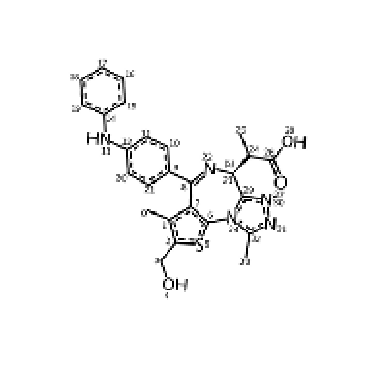 Cc1c(CO)sc2c1C(c1ccc(Nc3ccccc3)cc1)=N[C@@H](C(C)C(=O)O)c1nnc(C)n1-2